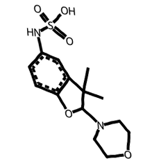 CC1(C)c2cc(NS(=O)(=O)O)ccc2OC1N1CCOCC1